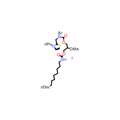 CCCCCCCCCCCCCCCCCCNC(=O)OCC(COC(=O)N(Cc1scc[n+]1CCC)C(C)=O)OC.[I-]